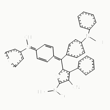 CCN(C)c1sc(C(=C2C=CC(=[N+](C)c3ccccc3)C=C2)c2ccc(N(C)c3ccccc3)cc2)c(-c2ccccc2)c1C#N